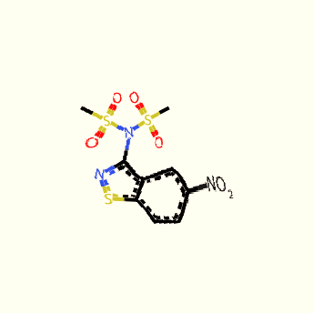 CS(=O)(=O)N(c1nsc2ccc([N+](=O)[O-])cc12)S(C)(=O)=O